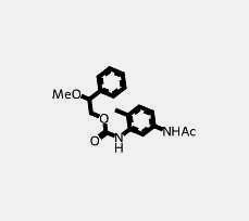 COC(COC(=O)Nc1cc(NC(C)=O)ccc1C)c1ccccc1